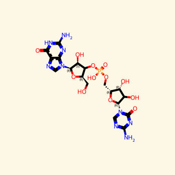 Nc1ncn([C@@H]2O[C@H](COP(=O)(O)OC3[C@@H](CO)O[C@@H](n4cnc5c(=O)[nH]c(N)nc54)[C@H]3O)[C@H](O)C2O)c(=O)n1